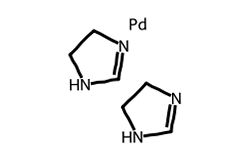 C1=NCCN1.C1=NCCN1.[Pd]